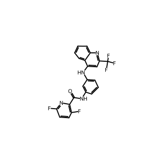 O=C(Nc1cccc(Nc2cc(C(F)(F)F)nc3ccccc23)c1)c1nc(F)ccc1F